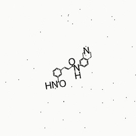 CNC(=O)c1cccc(/C=C/C(=O)Nc2ccc3c(c2)CN(C)CC3)c1